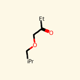 CCC(=O)COCC(C)C